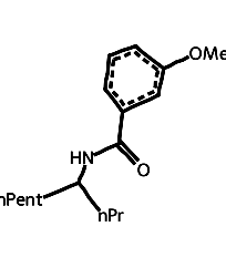 CCCCCC(CCC)NC(=O)c1cccc(OC)c1